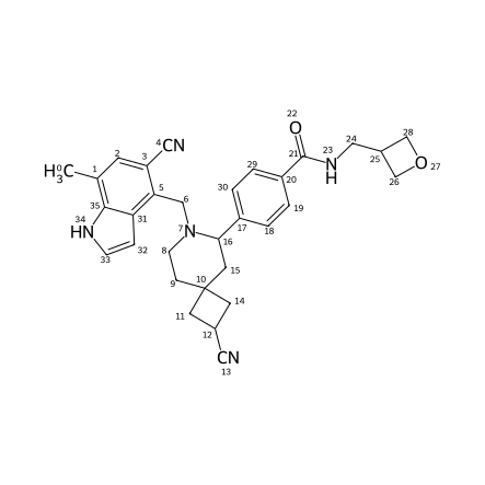 Cc1cc(C#N)c(CN2CCC3(CC(C#N)C3)CC2c2ccc(C(=O)NCC3COC3)cc2)c2cc[nH]c12